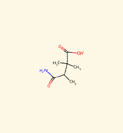 CC(C(N)=O)C(C)(C)C(=O)O